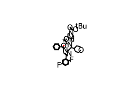 C[C@H](O)C(=O)N(CC1CCN(C(=O)OC(C)(C)C)C1)C(c1nc(-c2cc(F)ccc2F)cn1Cc1ccccc1)C1CCOCC1